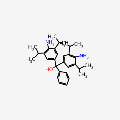 CC(C)c1cc(C(O)(c2ccccc2)c2cc(C(C)C)c(N)c(C(C)C)c2)cc(C(C)C)c1N